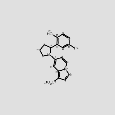 CCOC(=O)c1cnn2ccc(N3CCCC3c3cc(F)ccc3O)cc12